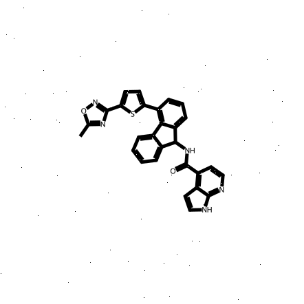 Cc1nc(-c2ccc(-c3cccc4c3-c3ccccc3C4NC(=O)c3ccnc4[nH]ccc34)s2)no1